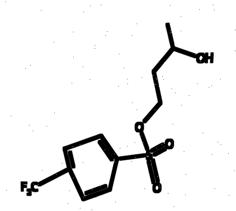 CC(O)CCOS(=O)(=O)c1ccc(C(F)(F)F)cc1